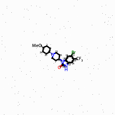 CO[C@H]1CC[C@H](N2CCC(n3c(=O)[nH]c4cc(C(F)(F)F)c(Br)cc43)CC2)CC1